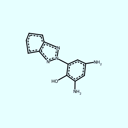 Nc1cc(N)c(O)c(-n2nc3ccccc3n2)c1